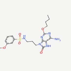 CCCCOc1nc(N)c2[nH]c(=O)n(CCCNS(=O)(=O)c3cccc(OC(C)=O)c3)c2n1